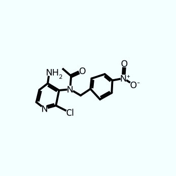 CC(=O)N(Cc1ccc([N+](=O)[O-])cc1)c1c(N)ccnc1Cl